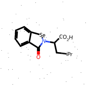 CC(C)CC(C(=O)O)n1[se]c2ccccc2c1=O